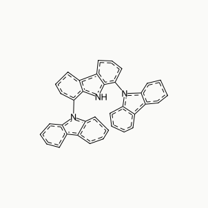 c1cc(-n2c3ccccc3c3ccccc32)c2[nH]c3c(-n4c5ccccc5c5ccccc54)cccc3c2c1